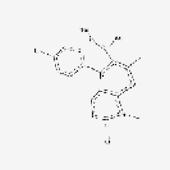 CC(=O)[C@@H](OC(C)(C)C)c1c(C)cc2c(ccc(=O)n2C)c1-c1ccc(Cl)cc1